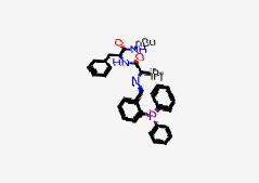 CCCCNC(=O)C(Cc1ccccc1)NC(=O)C(/N=C/c1ccccc1P(c1ccccc1)c1ccccc1)C(C)C